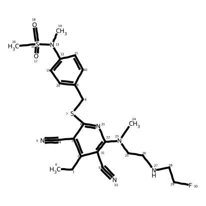 CCc1c(C#N)c(SCc2ccc(N(C)S(C)(=O)=O)cc2)nc(N(C)CCNCCF)c1C#N